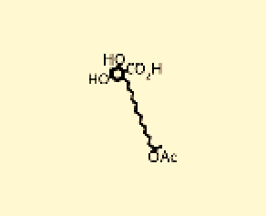 CC(=O)OC(C)CCCCCCCCCCCCc1cc(O)cc(O)c1C(=O)O